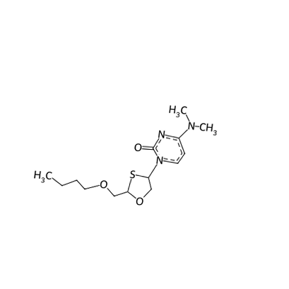 CCCCOCC1OCC(n2ccc(N(C)C)nc2=O)S1